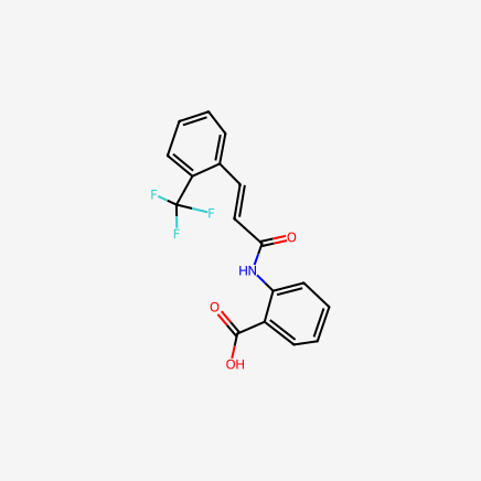 O=C(C=Cc1ccccc1C(F)(F)F)Nc1ccccc1C(=O)O